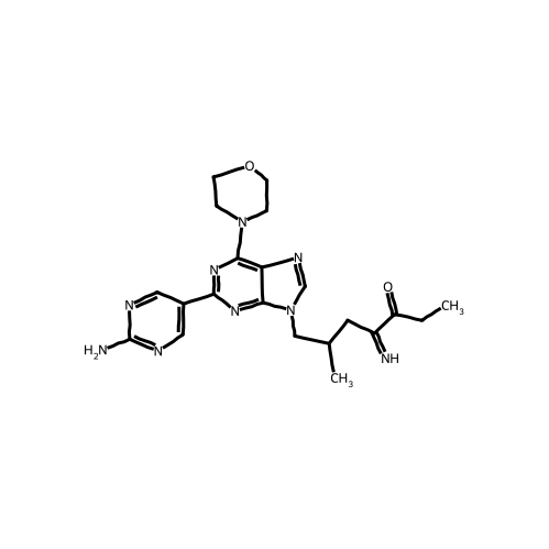 CCC(=O)C(=N)CC(C)Cn1cnc2c(N3CCOCC3)nc(-c3cnc(N)nc3)nc21